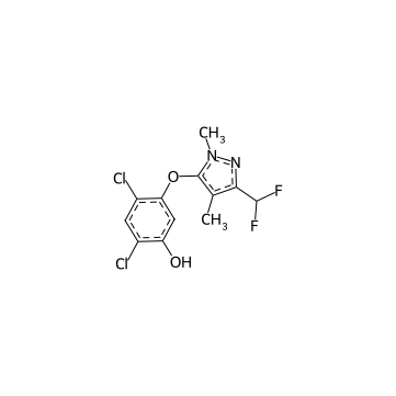 Cc1c(C(F)F)nn(C)c1Oc1cc(O)c(Cl)cc1Cl